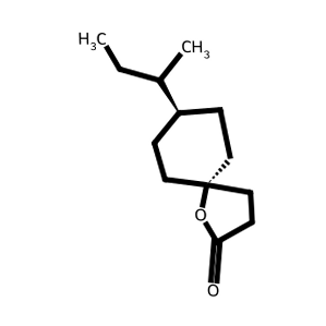 CCC(C)[C@H]1CC[C@@]2(CCC(=O)O2)CC1